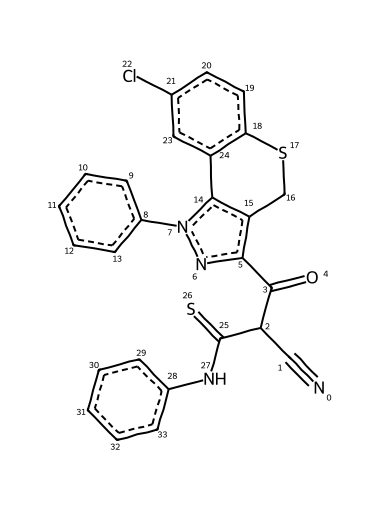 N#CC(C(=O)c1nn(-c2ccccc2)c2c1CSc1ccc(Cl)cc1-2)C(=S)Nc1ccccc1